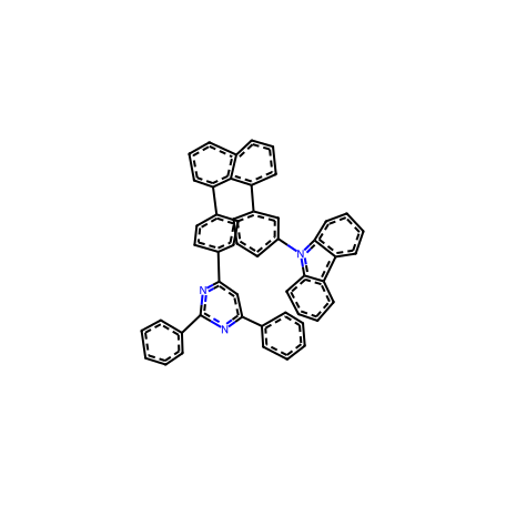 c1ccc(-c2cc(-c3ccc(-c4cccc5cccc(-c6cccc(-n7c8ccccc8c8ccccc87)c6)c45)cc3)nc(-c3ccccc3)n2)cc1